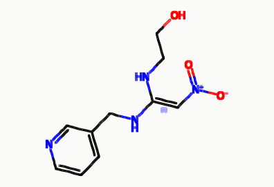 O=[N+]([O-])/C=C(\NCCO)NCc1cccnc1